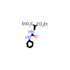 CCOC(=O)C(=CNC(=O)Nc1ccccc1)C(=O)OCC